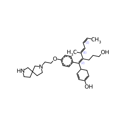 C\C=C/C=C(C)/C(CCCO)=C(\c1ccc(OCCN2CCC3(CCNC3)C2)cc1)C1C=CC(O)=CC1